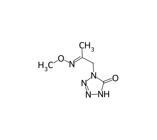 CON=C(C)Cn1nn[nH]c1=O